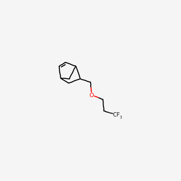 FC(F)(F)CCOCC1CC2C=CC1C2